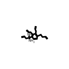 C=CCCc1ccc(C(N)(N)CC=C)c(CC=C)c1CC=C